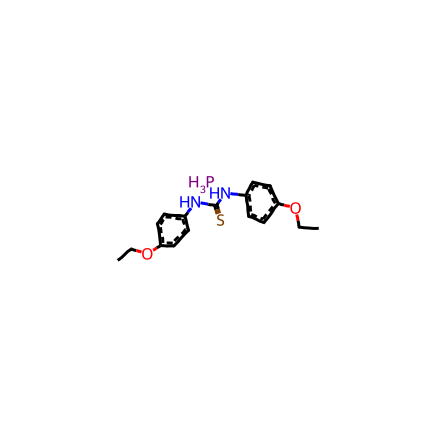 CCOc1ccc(NC(=S)Nc2ccc(OCC)cc2)cc1.P